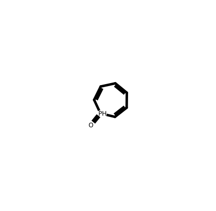 O=[PH]1C=CC=CC=C1